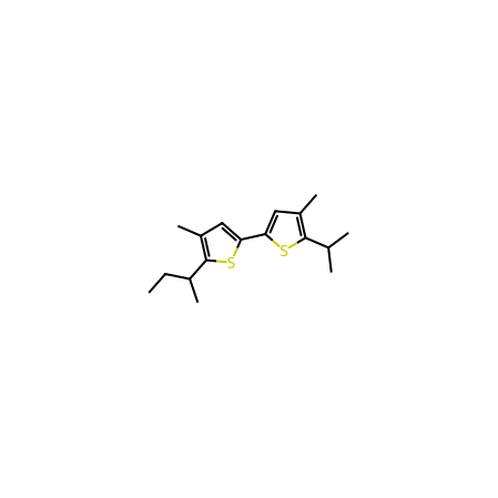 CCC(C)c1sc(-c2cc(C)c(C(C)C)s2)cc1C